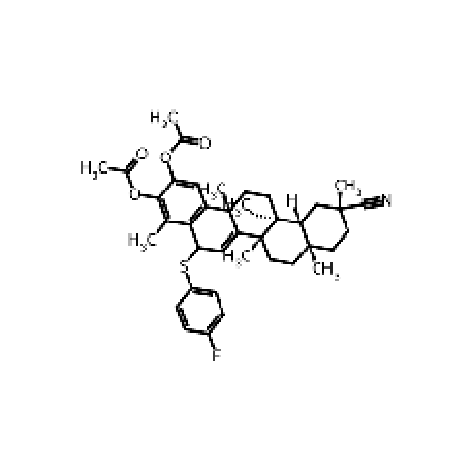 CC[C@@]12CC[C@]3(C)C(=CC(Sc4ccc(F)cc4)c4c3cc(OC(C)=O)c(OC(C)=O)c4C)[C@@]1(C)CC[C@@]1(C)CC[C@@](C)(C#N)C[C@H]12